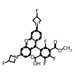 COC(=O)c1c(F)c(F)c(C(=O)O)c(-c2c3ccc(=[N+]4CC(F)C4)cc-3oc3cc(N4CC(F)C4)ccc23)c1F